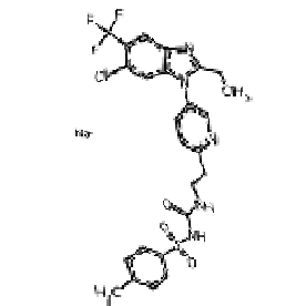 CCc1nc2cc(C(F)(F)F)c(Cl)cc2n1-c1ccc(CCNC(=O)NS(=O)(=O)c2ccc(C)cc2)nc1.[Na]